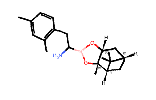 Cc1ccc(CC(N)B2O[C@@H]3C[C@@H]4C[C@@H](C4(C)C)[C@]3(C)O2)c(C)c1